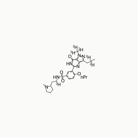 [2H]C(CC1CCCN1C)NS(=O)(=O)c1ccc(OCCC)c(-c2nc3c(CC([2H])([2H])C)nn(C([2H])([2H])[2H])c3c(=O)[nH]2)c1